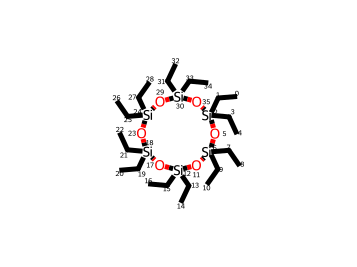 CC[Si]1(CC)O[Si](CC)(CC)O[Si](CC)(CC)O[Si](CC)(CC)O[Si](CC)(CC)O[Si](CC)(CC)O1